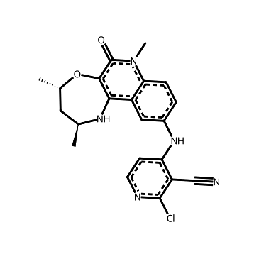 C[C@H]1C[C@H](C)Oc2c(c3cc(Nc4ccnc(Cl)c4C#N)ccc3n(C)c2=O)N1